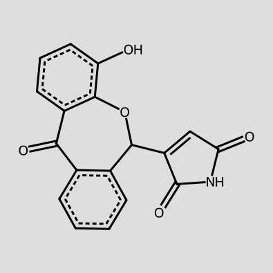 O=C1C=C(C2Oc3c(O)cccc3C(=O)c3ccccc32)C(=O)N1